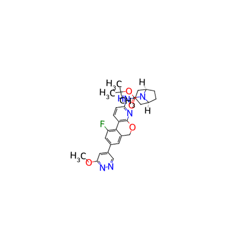 COc1cc(-c2cc(F)c3c(c2)COc2nc(NC4C[C@H]5CC[C@@H](C4)N5C(=O)OC(C)(C)C)ccc2-3)cnn1